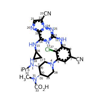 CC(C)N[C@@H]1CN(c2cc(C#N)cc(Nc3nc(NC4CC4)c4ncc(C#N)n4n3)c2Cl)CC[C@@H]1N(C)C(=O)O